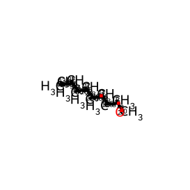 CC(=O)CCC=C(C)CCC=C(C)CCC=C(C)CCC=C(C)CCC=C(C)CCC=C(C)CCC=C(C)CCC=C(C)C